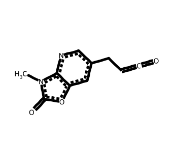 Cn1c(=O)oc2cc(CC=C=O)cnc21